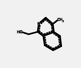 Cc1cnc(CO)c2ccccc12